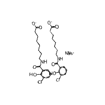 O=C([O-])CCCCCCCNC(=O)c1cccc(Cl)c1O.O=C([O-])CCCCCCCNC(=O)c1cccc(Cl)c1O.[Na+].[Na+]